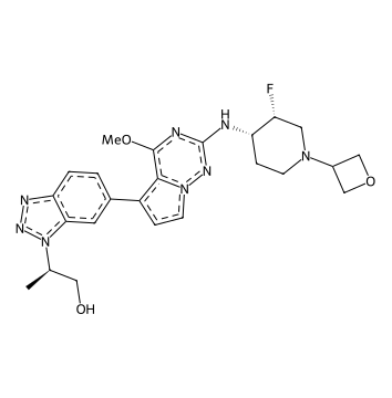 COc1nc(N[C@H]2CCN(C3COC3)C[C@H]2F)nn2ccc(-c3ccc4nnn([C@H](C)CO)c4c3)c12